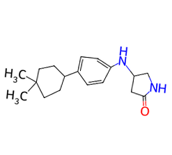 CC1(C)CCC(c2ccc(NC3CNC(=O)C3)cc2)CC1